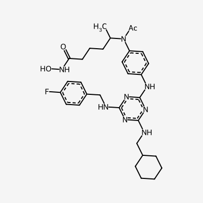 CC(=O)N(c1ccc(Nc2nc(NCc3ccc(F)cc3)nc(NCC3CCCCC3)n2)cc1)C(C)CCCC(=O)NO